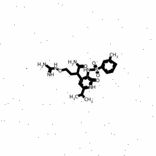 Cc1cccc(S(=O)(=O)Nc2c(C(CCONC(=N)N)C(N)=O)cc(C(C)C)[nH]c2=O)c1